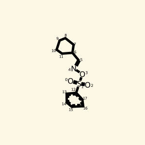 O=S(=O)(O/N=C/C1CCCCC1)c1ccccc1